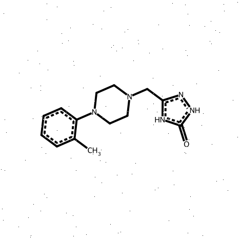 Cc1ccccc1N1CCN(Cc2n[nH]c(=O)[nH]2)CC1